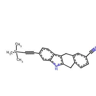 C[Si](C)(C)C#Cc1ccc2c3c([nH]c2c1)Cc1ccc(C#N)cc1C3